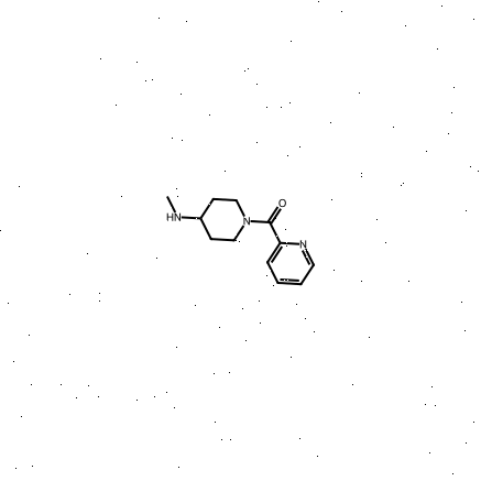 CNC1CCN(C(=O)c2ccccn2)CC1